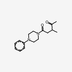 CC(=O)C(C)CC(=O)N1CCN(c2ccccc2)CC1